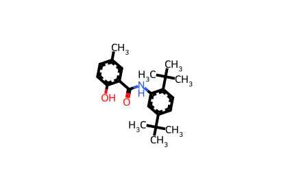 Cc1ccc(O)c(C(=O)Nc2cc(C(C)(C)C)ccc2C(C)(C)C)c1